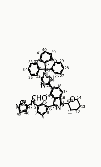 O=CN(c1cccc(-c2nn(C3CCCCO3)c3ccc(-c4ncn(C(c5ccccc5)(c5ccccc5)c5ccccc5)n4)cc23)c1)c1ccno1